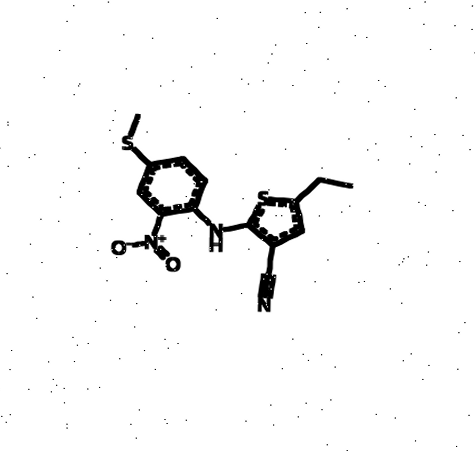 CCc1cc(C#N)c(Nc2ccc(SC)cc2[N+](=O)[O-])s1